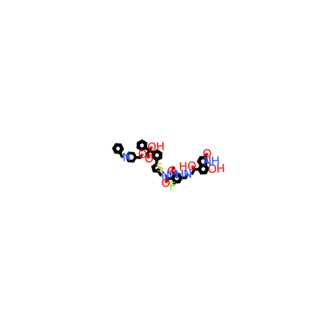 COc1cc(CNCC(O)c2ccc(O)c3[nH]c(=O)ccc23)cc(F)c1C(=O)NCc1ccc(-c2cccc(C(O)(C(=O)OCC3CCN(Cc4ccccc4)CC3)c3ccccc3)c2)s1